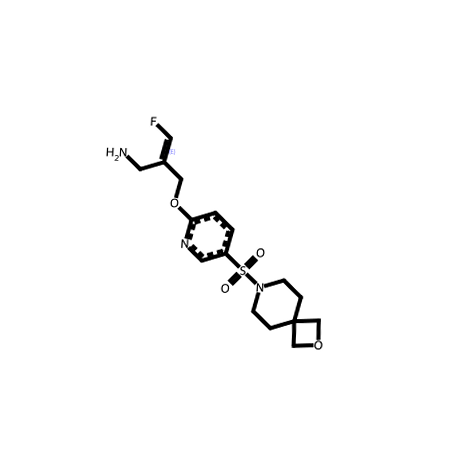 NC/C(=C\F)COc1ccc(S(=O)(=O)N2CCC3(CC2)COC3)cn1